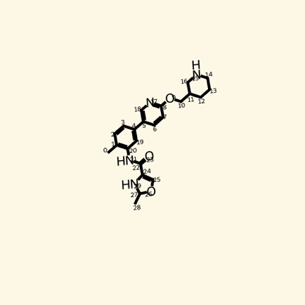 Cc1ccc(-c2ccc(OCC3CCCNC3)nc2)cc1NC(=O)C1=COC(C)N1